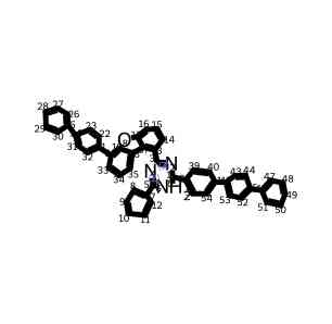 CC(/N=C(\N=C(/N)c1ccccc1)c1cccc2oc3c(-c4ccc(-c5ccccc5)cc4)cccc3c12)c1ccc(-c2ccc(-c3ccccc3)cc2)cc1